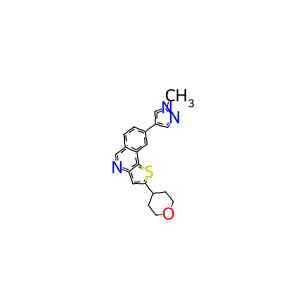 Cn1cc(-c2ccc3cnc4cc(C5CCOCC5)sc4c3c2)cn1